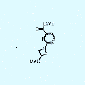 COC(=O)c1ccnc(N2CC(OC)C2)n1